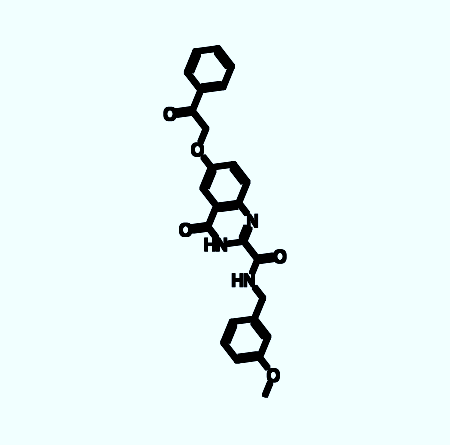 COc1cccc(CNC(=O)c2nc3ccc(OCC(=O)c4ccccc4)cc3c(=O)[nH]2)c1